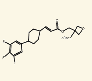 CCCCCC1(COC(=O)/C=C/C2CCC(c3cc(F)c(F)c(F)c3)CC2)COC1